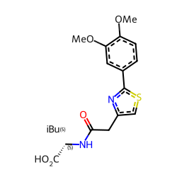 CC[C@H](C)[C@H](NC(=O)Cc1csc(-c2ccc(OC)c(OC)c2)n1)C(=O)O